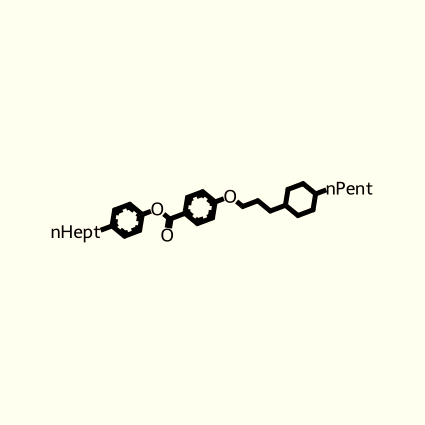 CCCCCCCc1ccc(OC(=O)c2ccc(OCCCC3CCC(CCCCC)CC3)cc2)cc1